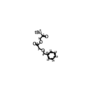 CC(C)(C)C(=O)COC(=O)COCc1ccccc1